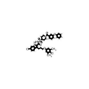 Cc1cc(OCCCc2c(C(=O)NS(=O)(=O)C3CCN(C(=O)c4cccc(Oc5ccccc5)c4)CC3)[nH]c3cc(Cl)ccc23)cc(C)c1Cl